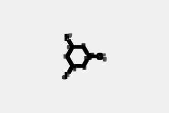 [O-][S+]1CC(F)CC(F)C1